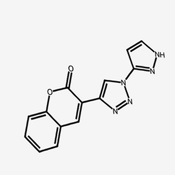 O=c1oc2ccccc2cc1-c1cn(-c2cc[nH]n2)nn1